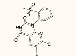 CS(=O)(=O)c1ccccc1-n1c(=O)[nH]c(=O)c2cc(F)c(Cl)nc21